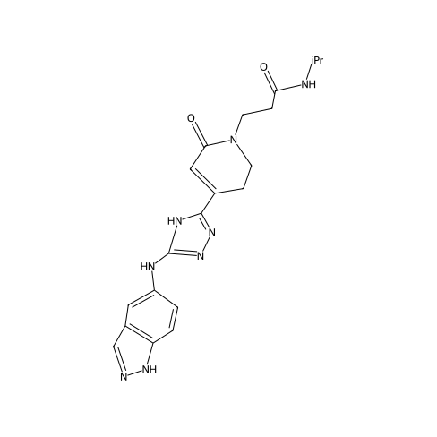 CC(C)NC(=O)CCN1CCC(c2nnc(Nc3ccc4[nH]ncc4c3)[nH]2)=CC1=O